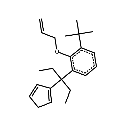 C=CCOc1c(C(C)(C)C)cccc1C(CC)(CC)C1=CCC=C1